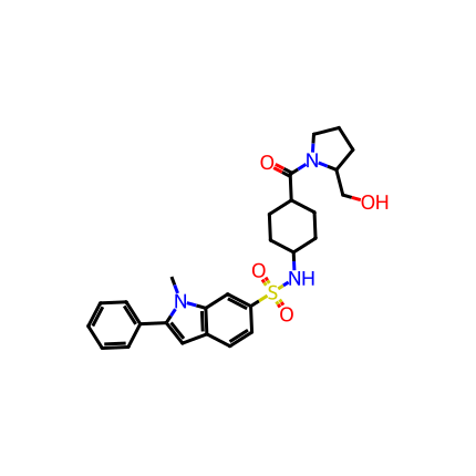 Cn1c(-c2ccccc2)cc2ccc(S(=O)(=O)NC3CCC(C(=O)N4CCCC4CO)CC3)cc21